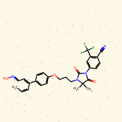 C\C=C/C(=C\C=N\O)c1ccc(OCCCN2C(=O)N(c3ccc(C#N)c(C(F)(F)F)c3)C(=O)C2(C)C)cc1